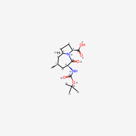 C[C@H]1C[C@H]2CC[C@@H](C(=O)O)N2C(=O)[C@@H](NC(=O)OC(C)(C)C)C1